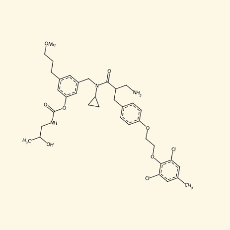 COCCCc1cc(CN(C(=O)C(CN)Cc2ccc(OCCOc3c(Cl)cc(C)cc3Cl)cc2)C2CC2)cc(OC(=O)NCC(C)O)c1